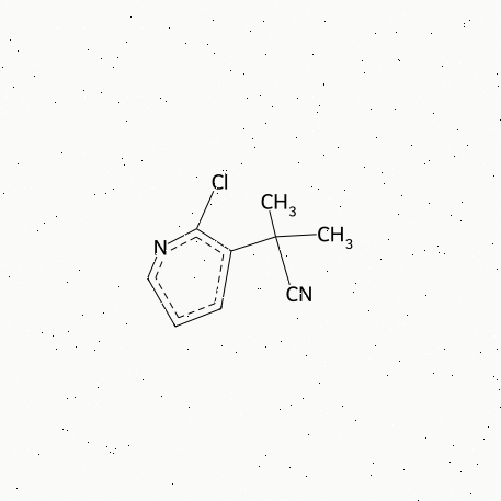 CC(C)(C#N)c1cccnc1Cl